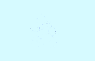 CC1(C)OCC(CC(c2ccc(O)cc2)C23CC4CC(CC(C4)C2)C3)(OC(N)=O)C(C(C)(C)C)O1